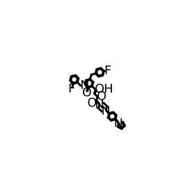 O=C(/C=C(\O)c1cc(Cc2ccc(F)cc2)cn(Cc2ccccc2F)c1=O)C(=O)N1CCN(c2ccc(-n3cccc3)cc2)CC1